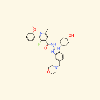 COc1ccccc1-c1nc(C)cc(C(=O)Nc2nc3cc(CN4CCOCC4)ccc3n2[C@H]2CC[C@@H](O)CC2)c1F